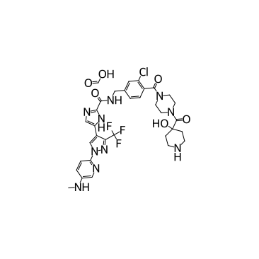 CNc1ccc(-n2cc(-c3cnc(C(=O)NCc4ccc(C(=O)N5CCN(C(=O)C6(O)CCNCC6)CC5)c(Cl)c4)[nH]3)c(C(F)(F)F)n2)nc1.O=CO